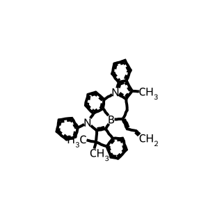 C=C/C=C1\Cc2c(C)c3ccccc3n2-c2cccc3c2B1C1=C(N3c2ccccc2)C(C)(C)c2ccccc21